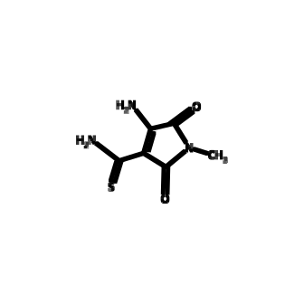 CN1C(=O)C(N)=C(C(N)=S)C1=O